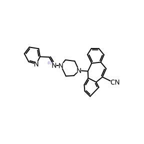 N#CC1=Cc2ccccc2C(N2CCN(/N=C/c3ccccn3)CC2)c2ccccc21